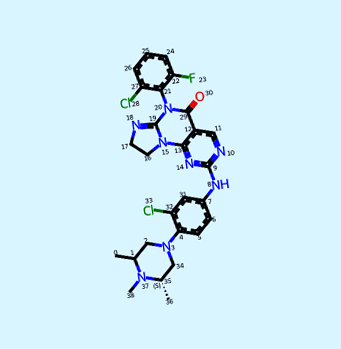 CC1CN(c2ccc(Nc3ncc4c(n3)N3CCN=C3N(c3c(F)cccc3Cl)C4=O)cc2Cl)C[C@H](C)N1C